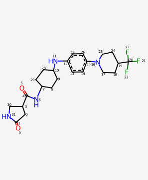 O=C1CC(C(=O)NC2CCC(Nc3ccc(N4CCC(C(F)(F)F)CC4)cc3)CC2)CN1